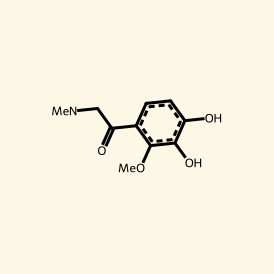 CNCC(=O)c1ccc(O)c(O)c1OC